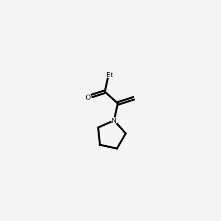 C=C(C(=O)CC)N1CCCC1